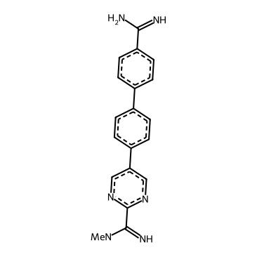 CNC(=N)c1ncc(-c2ccc(-c3ccc(C(=N)N)cc3)cc2)cn1